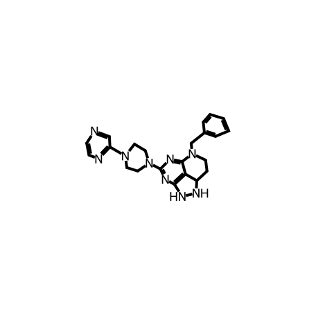 c1ccc(CN2CCC3NNc4nc(N5CCN(c6cnccn6)CC5)nc2c43)cc1